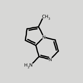 Cc1ccc2c(N)nccn12